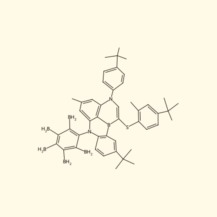 Bc1c(B)c(B)c(N2c3ccc(C(C)(C)C)cc3B3C(Sc4ccc(C(C)(C)C)cc4C)=CN(c4ccc(C(C)(C)C)cc4)c4cc(C)cc2c43)c(B)c1B